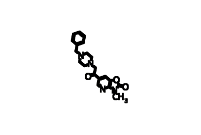 Cn1c(=O)oc2cc(C(=O)CN3CCN(Cc4ccccc4)CC3)cnc21